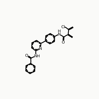 C=C(Cl)C(=C)C(=O)Nc1ccc(-c2cccc(NC(=O)c3ccccc3)n2)cc1